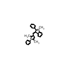 Cc1cc(C=C2c3ccccc3N(C)C2c2ccccc2)c(C)n1-c1ccccc1